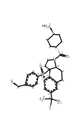 O=C(O)[C@H]1CC[C@H](C(=O)N2CCC3(S(=O)(=O)c4ccc(CF)cc4)c4ccc(C(F)(C(F)(F)F)C(F)(F)F)cc4CCC23)CC1